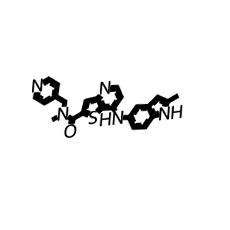 Cc1cc2cc(Nc3ccnc4cc(C(=O)N(C)Cc5ccncc5)sc34)ccc2[nH]1